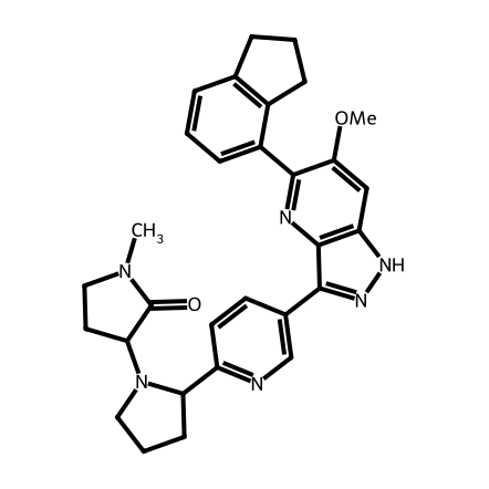 COc1cc2[nH]nc(-c3ccc(C4CCCN4C4CCN(C)C4=O)nc3)c2nc1-c1cccc2c1CCC2